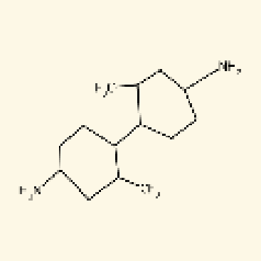 NC1CCC(C2CCC(N)CC2C(F)(F)F)C(C(F)(F)F)C1